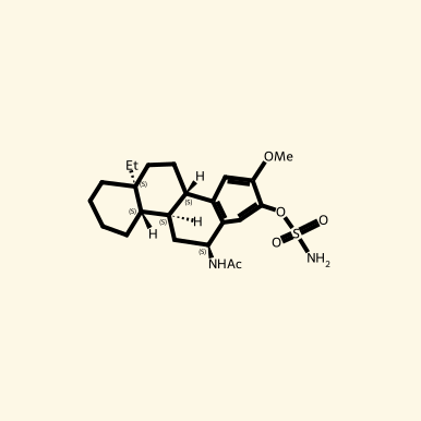 CC[C@@]12CCCC[C@H]1[C@@H]1C[C@H](NC(C)=O)c3cc(OS(N)(=O)=O)c(OC)cc3[C@H]1CC2